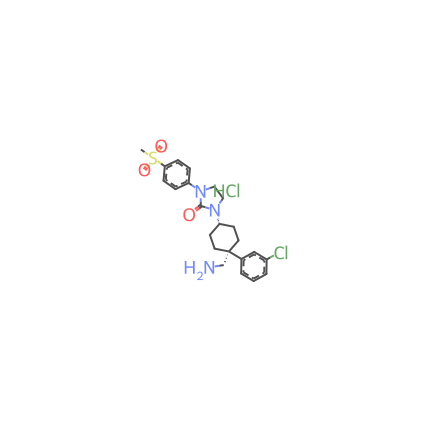 CS(=O)(=O)c1ccc(N2CCN([C@H]3CC[C@](CN)(c4cccc(Cl)c4)CC3)C2=O)cc1.Cl